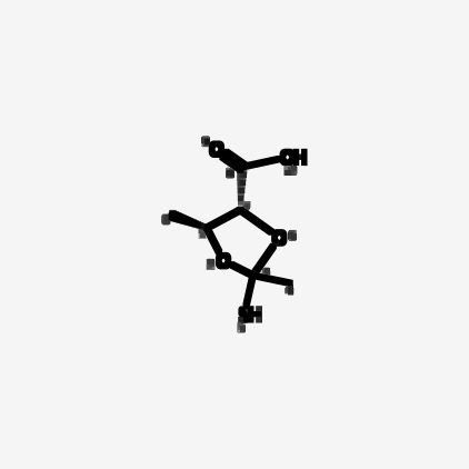 C[C@@H]1OC(C)(S)O[C@H]1C(=O)O